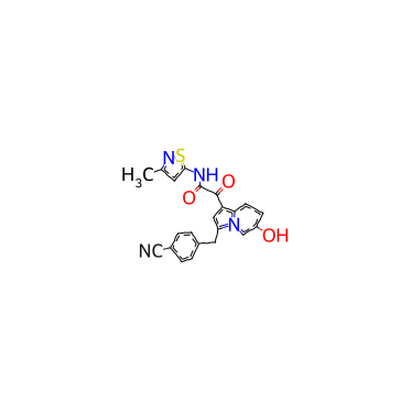 Cc1cc(NC(=O)C(=O)c2cc(Cc3ccc(C#N)cc3)n3cc(O)ccc23)sn1